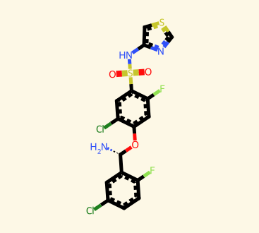 N[C@H](Oc1cc(F)c(S(=O)(=O)Nc2cscn2)cc1Cl)c1cc(Cl)ccc1F